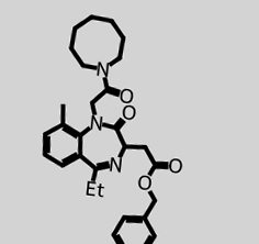 CCC1=NC(CC(=O)OCc2ccccc2)C(=O)N(CC(=O)N2CCCCCCC2)c2c(C)cccc21